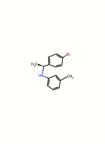 Cc1c[c]cc(N[C@@H](C)c2ccc(Br)cc2)c1